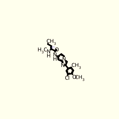 CC/C=C(\NC)C(=O)Nc1ccn2cc(-c3cc(Cl)c(OC)cc3C)nc2c1